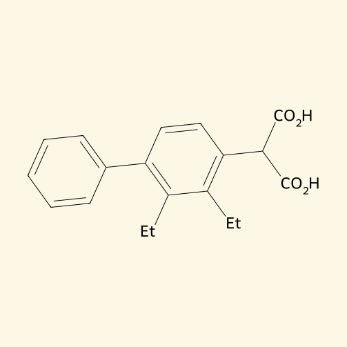 CCc1c(-c2ccccc2)ccc(C(C(=O)O)C(=O)O)c1CC